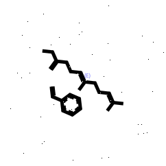 C=C(CC)CC/C=C(\C)CCC=C(C)C.C=Cc1ccccc1